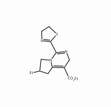 CCOC(=O)C1=C2CC(CC)CN2C(C2=NCCS2)=NC1